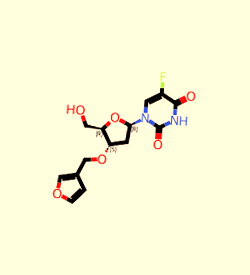 O=c1[nH]c(=O)n([C@H]2C[C@H](OCc3ccoc3)[C@@H](CO)O2)cc1F